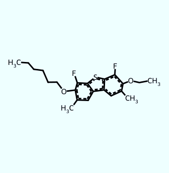 CCCCCCOc1c(C)cc2c(sc3c(F)c(OCC)c(C)cc32)c1F